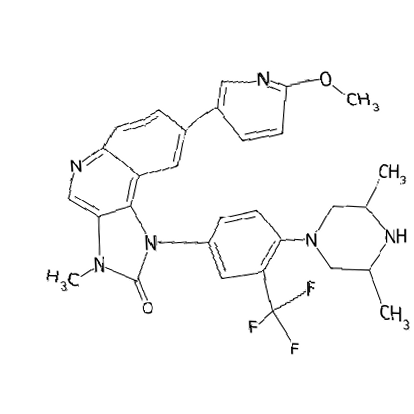 COc1ccc(-c2ccc3ncc4c(c3c2)n(-c2ccc(N3CC(C)NC(C)C3)c(C(F)(F)F)c2)c(=O)n4C)cn1